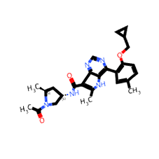 CC(=O)N1C[C@@H](NC(=O)c2c(C)[nH]c3c(-c4cc(C)ccc4OCC4CC4)ncnc23)C[C@@H]1C